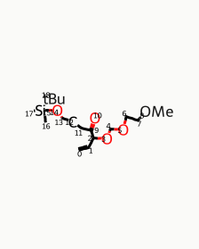 C=CC(OCOCCOC)C(=O)CCCO[Si](C)(C)C(C)(C)C